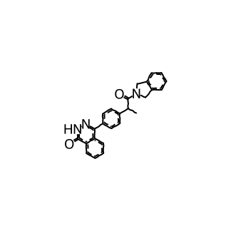 CC(C(=O)N1Cc2ccccc2C1)c1ccc(-c2n[nH]c(=O)c3ccccc23)cc1